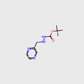 CC(C)(C)OC(=O)NNCc1cnccn1